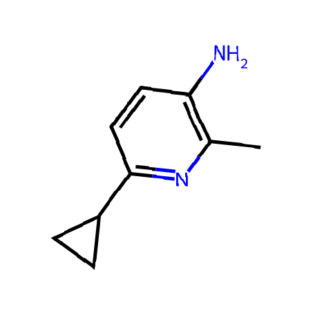 Cc1nc(C2CC2)ccc1N